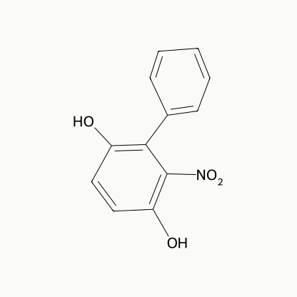 O=[N+]([O-])c1c(O)ccc(O)c1-c1ccccc1